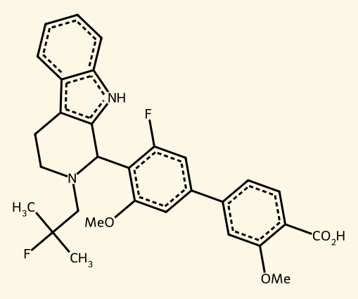 COc1cc(-c2cc(F)c(C3c4[nH]c5ccccc5c4CCN3CC(C)(C)F)c(OC)c2)ccc1C(=O)O